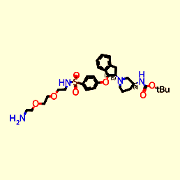 CC(C)(C)OC(=O)N[C@@H]1CCCN([C@H]2Cc3ccccc3[C@@H]2Oc2ccc(S(=O)(=O)NCCOCCOCCN)cc2)C1